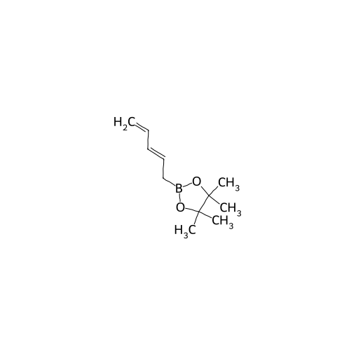 C=CC=CCB1OC(C)(C)C(C)(C)O1